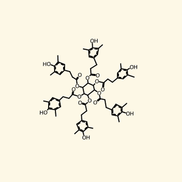 Cc1cc(CCC(=O)OC2C(OC(=O)CCc3cc(C)c(O)c(C)c3)C(OC(=O)CCc3cc(C)c(O)c(C)c3)C(OC(=O)CCc3cc(C)c(O)c(C)c3)C(OC(=O)CCc3cc(C)c(O)c(C)c3)C2OC(=O)CCc2cc(C)c(O)c(C)c2)cc(C)c1O